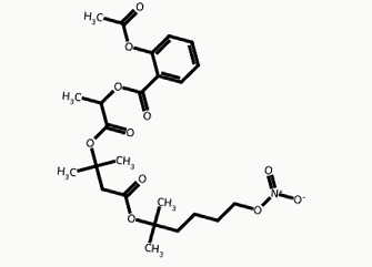 CC(=O)Oc1ccccc1C(=O)OC(C)C(=O)OC(C)(C)CC(=O)OC(C)(C)CCCCO[N+](=O)[O-]